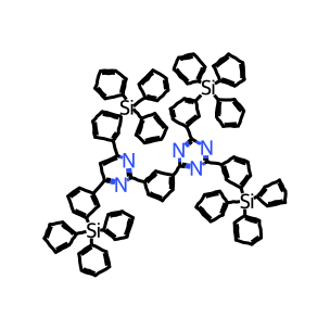 c1ccc([Si](c2ccccc2)(c2ccccc2)c2cccc(-c3cc(-c4cccc([Si](c5ccccc5)(c5ccccc5)c5ccccc5)c4)nc(-c4cccc(-c5nc(-c6cccc([Si](c7ccccc7)(c7ccccc7)c7ccccc7)c6)nc(-c6cccc([Si](c7ccccc7)(c7ccccc7)c7ccccc7)c6)n5)c4)n3)c2)cc1